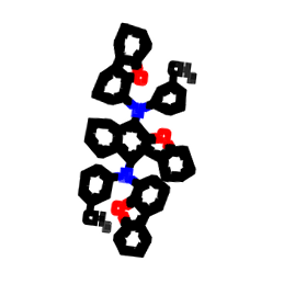 Cc1cccc(N(c2cccc3c2oc2ccccc23)c2c3ccccc3c(N(c3cccc(C)c3)c3cccc4c3oc3ccccc34)c3c2oc2ccccc23)c1